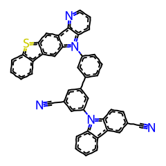 N#Cc1cc(-c2cccc(-n3c4cc5c(cc4c4ncccc43)sc3ccccc35)c2)cc(-n2c3ccccc3c3cc(C#N)ccc32)c1